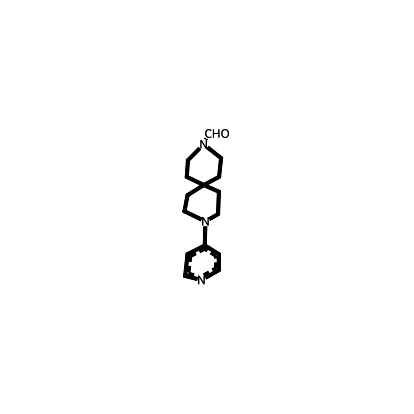 O=CN1CCC2(CC1)CCN(c1ccncc1)CC2